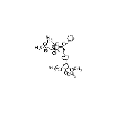 CCCOc1c(OCc2ccccc2)cc(C2CCC(c3cc(OC)c(OC)c(OC)c3)O2)cc1S(=O)(=O)CCS(C)(=O)=O